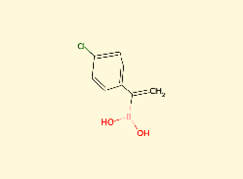 C=C(B(O)O)c1ccc(Cl)cc1